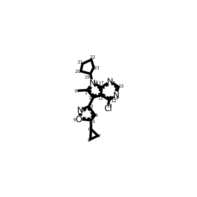 Cc1c(-c2cc(C3CC3)on2)c2c(Cl)ncnc2n1C1CCCC1